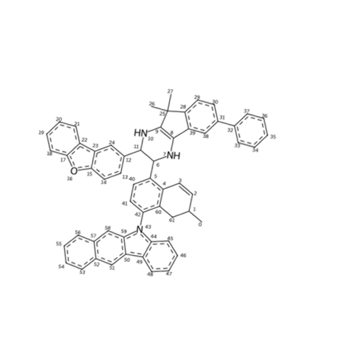 CC1C=Cc2c(C3NC4=C(NC3c3ccc5oc6ccccc6c5c3)C(C)(C)c3ccc(-c5ccccc5)cc34)ccc(-n3c4ccccc4c4cc5ccccc5cc43)c2C1